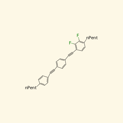 CCCCCc1ccc(C#Cc2ccc(C#Cc3ccc(CCCCC)c(F)c3F)cc2)cc1